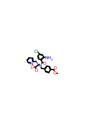 COC(=O)c1ccc(CN(C(=O)c2ccc(Cl)cc2N)[C@H](Cc2ccccn2)C(=O)OC)cc1